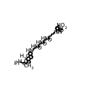 CC(C)CCC[C@@H](C)[C@H]1CCC2C3CC=C4C[C@@H](NCCCNC(=O)CCNC(=O)CCNC(=O)CCCCCNc5ccc([N+](=O)[O-])c6nonc56)CC[C@]4(C)C3CC[C@@]21C